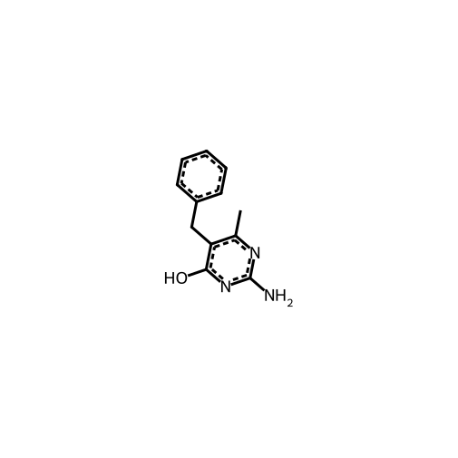 Cc1nc(N)nc(O)c1Cc1ccccc1